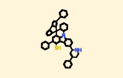 Sc1c(-c2ccccc2)cc2c3c1c1cc(C4C=C(c5ccccc5)CCN4)ccc1n3-c1ccccc1C21c2ccccc2-c2ccc(-c3ccccc3)cc21